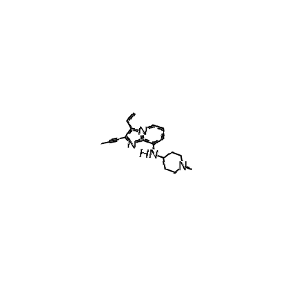 C=Cc1c(C#CC)nc2c(NC3CCN(C)CC3)cccn12